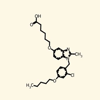 CCCCCOc1ccc(Cn2c(C)nc3cc(OCCCCCC(=O)O)ccc32)c(Cl)c1